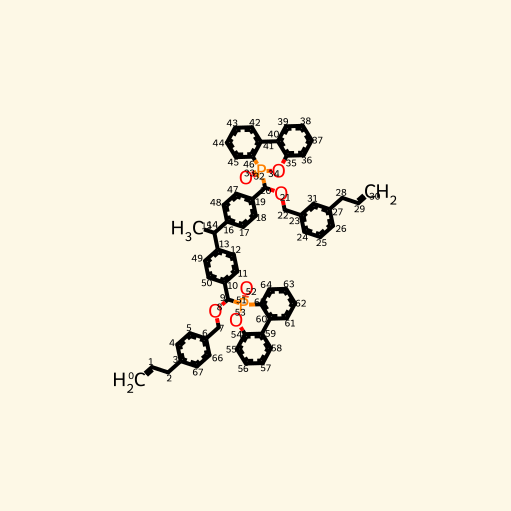 C=CCc1ccc(COC(c2ccc(C(C)c3ccc(C(OCc4cccc(CC=C)c4)P4(=O)Oc5ccccc5-c5ccccc54)cc3)cc2)P2(=O)Oc3ccccc3-c3ccccc32)cc1